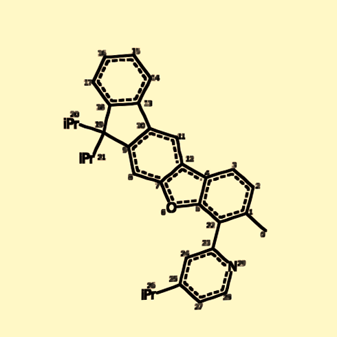 Cc1ccc2c(oc3cc4c(cc32)-c2ccccc2C4(C(C)C)C(C)C)c1-c1cc(C(C)C)ccn1